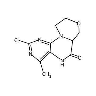 Cc1nc(Cl)nc2c1NC(=O)C1COCCN21